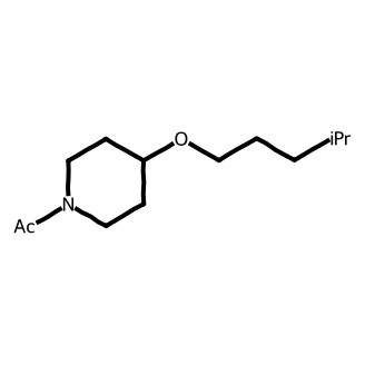 CC(=O)N1CCC(OCCCC(C)C)CC1